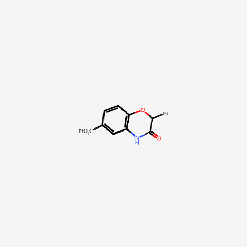 CCOC(=O)c1ccc2c(c1)NC(=O)C(CC)O2